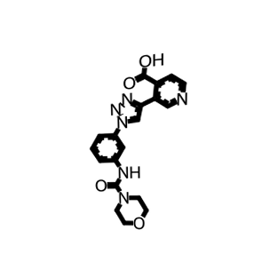 O=C(O)c1ccncc1-c1cn(-c2cccc(NC(=O)N3CCOCC3)c2)nn1